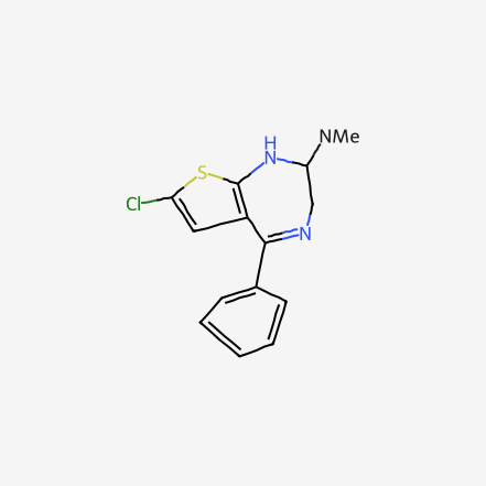 CNC1CN=C(c2ccccc2)c2cc(Cl)sc2N1